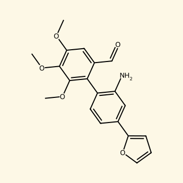 COc1cc(C=O)c(-c2ccc(-c3ccco3)cc2N)c(OC)c1OC